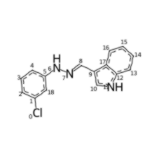 Clc1cccc(NN=Cc2c[nH]c3ccccc23)c1